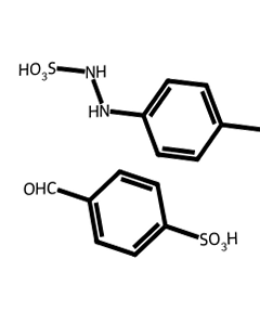 Cc1ccc(NNS(=O)(=O)O)cc1.O=Cc1ccc(S(=O)(=O)O)cc1